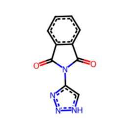 O=C1c2ccccc2C(=O)N1c1c[nH]nn1